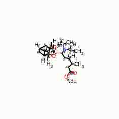 CC(CCC(B1O[C@@H]2C[C@@H]3C[C@@H](C3(C)C)[C@]2(C)O1)N([Si](C)(C)C)[Si](C)(C)C)CC(=O)OC(C)(C)C